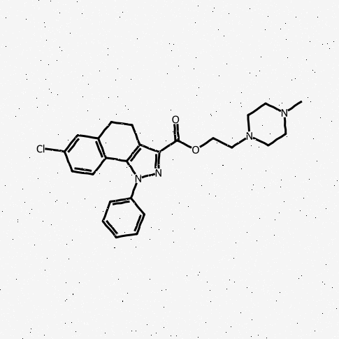 CN1CCN(CCOC(=O)c2nn(-c3ccccc3)c3c2CCc2cc(Cl)ccc2-3)CC1